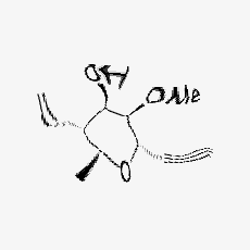 C#C[C@@H]1O[C@@H](C)[C@H](C=C)[C@@H](O)[C@H]1OC